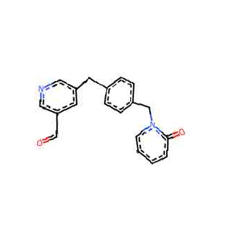 O=Cc1cncc(Cc2ccc(Cn3ccccc3=O)cc2)c1